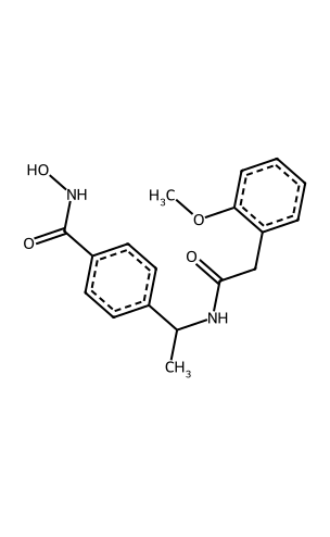 COc1ccccc1CC(=O)NC(C)c1ccc(C(=O)NO)cc1